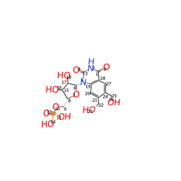 O=c1[nH]c(=O)n([C@@H]2O[C@H](COP(=O)(O)O)[C@@H](O)[C@H]2O)c2cc(CO)c(CO)cc12